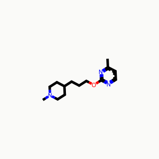 Cc1ccnc(OCCCC2CCN(C)CC2)n1